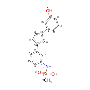 CS(=O)(=O)Nc1cccc(-c2ccc(-c3cccc(O)c3)s2)c1